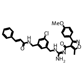 COc1ccc(-c2noc(C)c2C(=O)N=C(N)NCc2cc(Cl)cc(CNC(=O)/C=C/c3ccccc3)c2)cc1